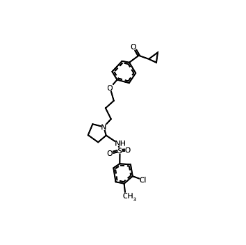 Cc1ccc(S(=O)(=O)NC2CCCN2CCCOc2ccc(C(=O)C3CC3)cc2)cc1Cl